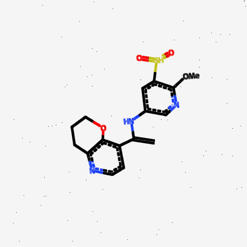 C=C(Nc1cnc(OC)c([SH](=O)=O)c1)c1ccnc2c1OCCC2